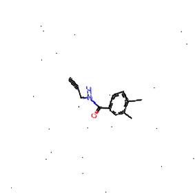 C#CCNC(=O)c1ccc(C)c(C)c1